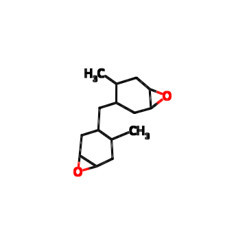 CC1CC2OC2CC1CC1CC2OC2CC1C